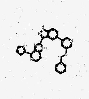 c1ccc(COc2cncc(-c3ccc4[nH]nc(-c5nc6c(-c7cccs7)nccc6[nH]5)c4c3)c2)cc1